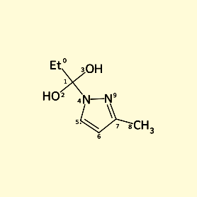 CCC(O)(O)n1[c]cc(C)n1